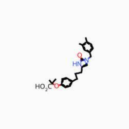 Cc1ccc(Cn2cc(CCCc3ccc(OC(C)(C)C(=O)O)cc3)[nH]c2=O)cc1C